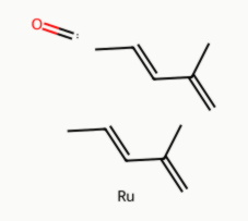 C=C(C)C=CC.C=C(C)C=CC.[C]=O.[Ru]